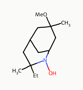 CCC1(C)CC2CC(CC(C)(OC)C2)N1O